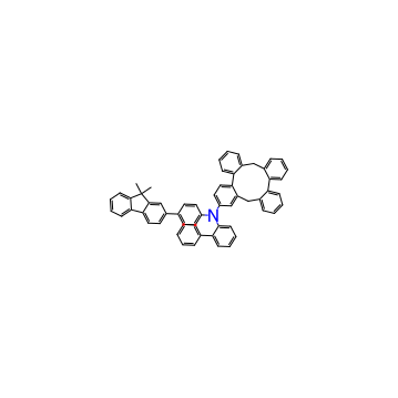 CC1(C)c2ccccc2-c2ccc(-c3ccc(N(c4ccc5c(c4)Cc4ccccc4-c4ccccc4Cc4ccccc4-5)c4ccccc4-c4ccccc4)cc3)cc21